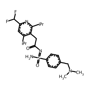 CC(C)c1cc(C(F)F)nc(C(C)C)c1CC(=O)N=S(N)(=O)c1ccc(CN(C)C)cc1